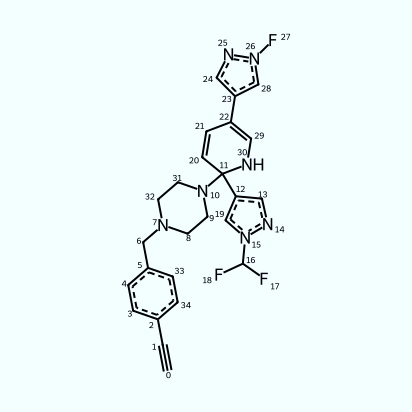 C#Cc1ccc(CN2CCN(C3(c4cnn(C(F)F)c4)C=CC(c4cnn(F)c4)=CN3)CC2)cc1